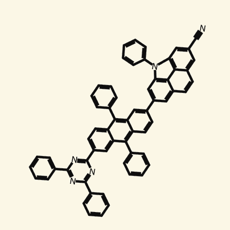 N#Cc1cc2ccc3cc(-c4ccc5c(-c6ccccc6)c6cc(-c7nc(-c8ccccc8)nc(-c8ccccc8)n7)ccc6c(-c6ccccc6)c5c4)cc4c3c2c(c1)n4-c1ccccc1